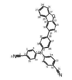 N#Cc1ccc(N(c2ccc(C#N)cc2)c2ccc(-c3ccc4oc5ccccc5c4c3)cc2)cc1